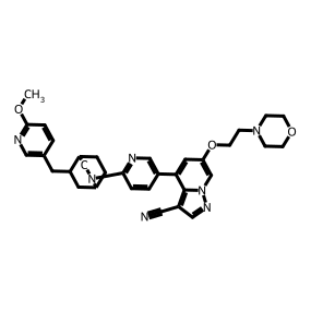 COc1ccc(CC2CC3CCC2CN3c2ccc(-c3cc(OCCN4CCOCC4)cn4ncc(C#N)c34)cn2)cn1